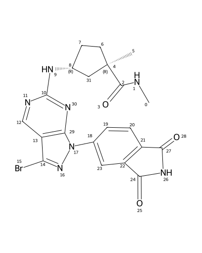 CNC(=O)[C@]1(C)CC[C@@H](Nc2ncc3c(Br)nn(-c4ccc5c(c4)C(=O)NC5=O)c3n2)C1